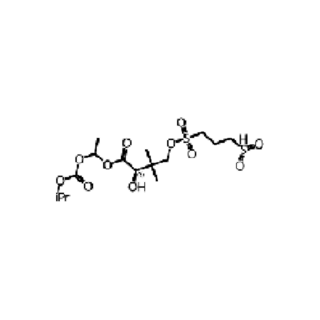 CC(C)OC(=O)OC(C)OC(=O)[C@H](O)C(C)(C)COS(=O)(=O)CCC[SH](=O)=O